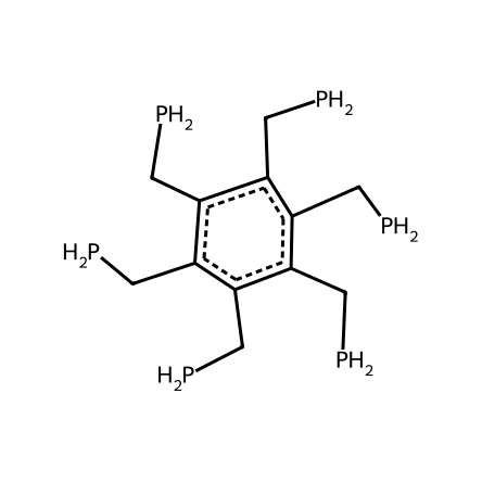 PCc1c(CP)c(CP)c(CP)c(CP)c1CP